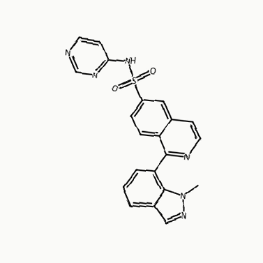 Cn1ncc2cccc(-c3nccc4cc(S(=O)(=O)Nc5ccncn5)ccc34)c21